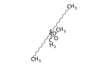 C=CC(=O)OCC.CCCCCCCCCCCCSSCCCCCCCCCCCC